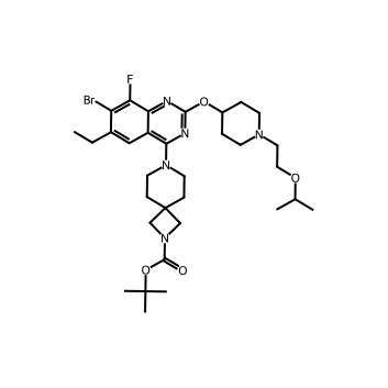 CCc1cc2c(N3CCC4(CC3)CN(C(=O)OC(C)(C)C)C4)nc(OC3CCN(CCOC(C)C)CC3)nc2c(F)c1Br